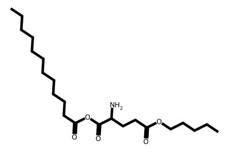 CCCCCCCCCCCC(=O)OC(=O)C(N)CCC(=O)OCCCCC